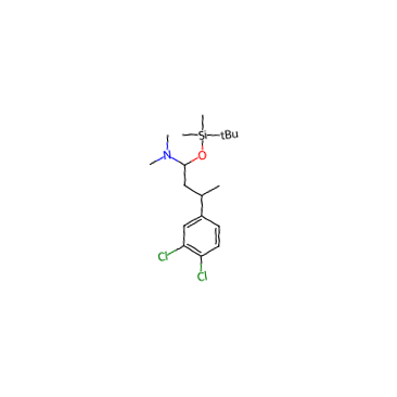 CC(CC(O[Si](C)(C)C(C)(C)C)N(C)C)c1ccc(Cl)c(Cl)c1